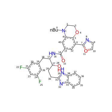 CCCCN1CCOc2c(-c3ncco3)cc(C(=O)NC(Cc3cc(F)cc(F)c3)C(O)CCc3nc4ccccc4[nH]3)cc21